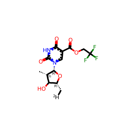 [2H]C[C@H]1O[C@@H](n2cc(C(=O)OCC(F)(F)F)c(=O)[nH]c2=O)[C@@H](C)C1O